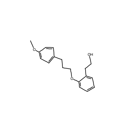 COc1ccc(CCCOc2ccccc2CCO)cc1